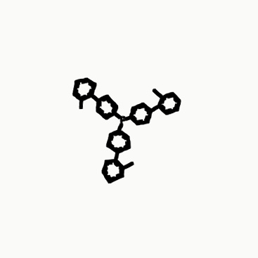 Cc1ccccc1-c1ccc(P(c2ccc(-c3ccccc3C)cc2)c2ccc(-c3ccccc3C)cc2)cc1